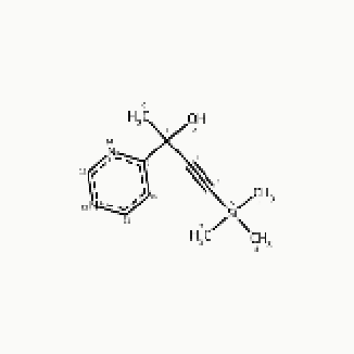 CC(O)(C#C[Si](C)(C)C)c1ccncn1